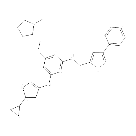 CN1CCC[C@H]1COc1cc(Nc2cc(C3CC3)[nH]n2)nc(NCc2cc(-c3ccccc3)no2)n1